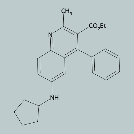 CCOC(=O)c1c(C)nc2ccc(NC3CCCC3)cc2c1-c1ccccc1